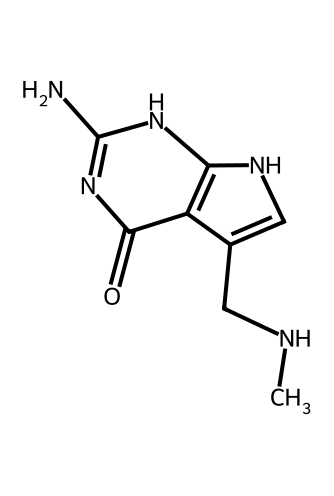 CNCc1c[nH]c2[nH]c(N)nc(=O)c12